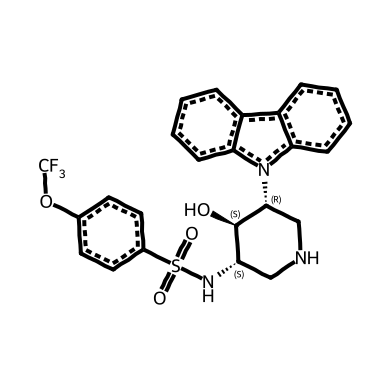 O=S(=O)(N[C@H]1CNC[C@@H](n2c3ccccc3c3ccccc32)[C@@H]1O)c1ccc(OC(F)(F)F)cc1